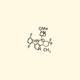 COc1cc(C(=O)Nc2c(-c3cc(F)ccc3F)ccnc2[C@H]2CCC(F)(F)C[C@@H]2C)on1